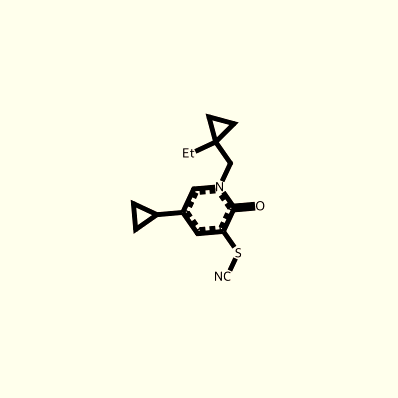 CCC1(Cn2cc(C3CC3)cc(SC#N)c2=O)CC1